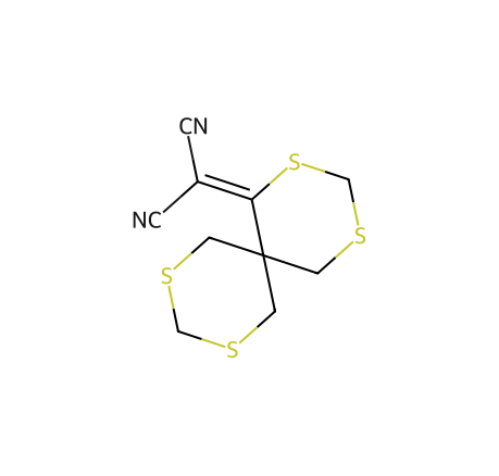 N#CC(C#N)=C1SCSCC12CSCSC2